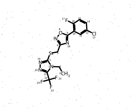 CCn1c(SCc2noc(-c3cc(Cl)ccc3F)n2)nnc1C(F)(F)F